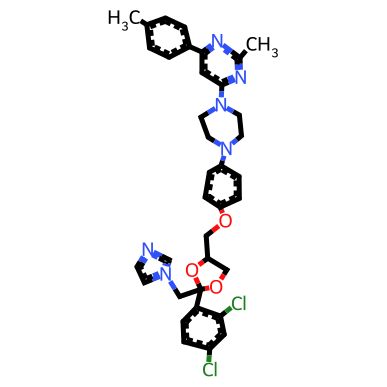 Cc1ccc(-c2cc(N3CCN(c4ccc(OCC5COC(Cn6ccnc6)(c6ccc(Cl)cc6Cl)O5)cc4)CC3)nc(C)n2)cc1